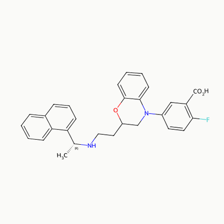 C[C@@H](NCCC1CN(c2ccc(F)c(C(=O)O)c2)c2ccccc2O1)c1cccc2ccccc12